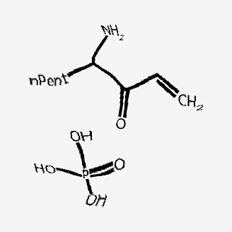 C=CC(=O)C(N)CCCCC.O=P(O)(O)O